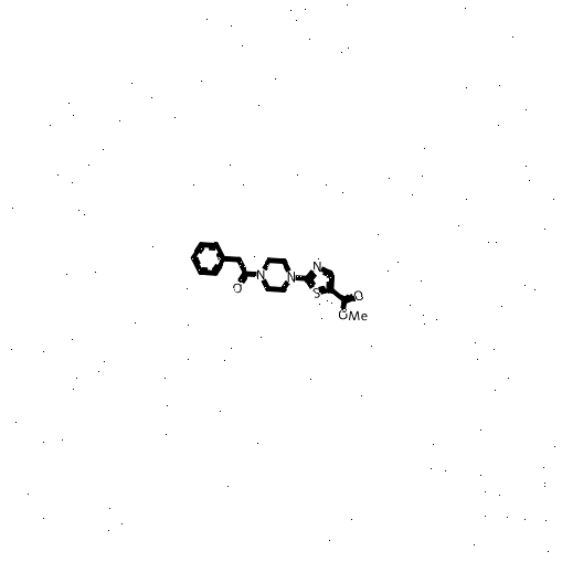 COC(=O)c1cnc(N2CCN(C(=O)Cc3ccccc3)CC2)s1